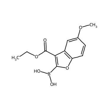 CCOC(=O)c1c(B(O)O)oc2ccc(OC)cc12